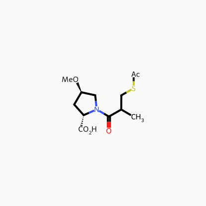 CO[C@@H]1C[C@@H](C(=O)O)N(C(=O)C(C)CSC(C)=O)C1